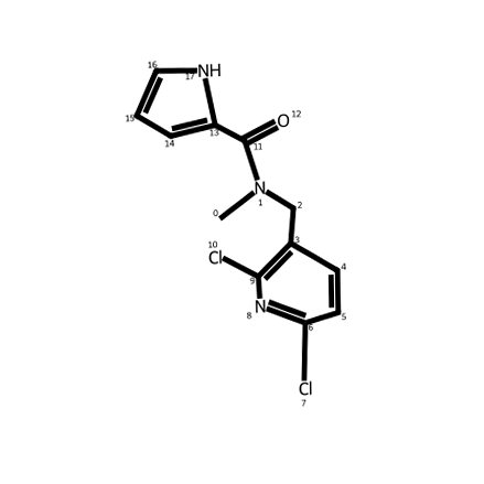 CN(Cc1ccc(Cl)nc1Cl)C(=O)c1ccc[nH]1